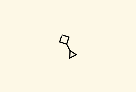 C1CC1C1COC1